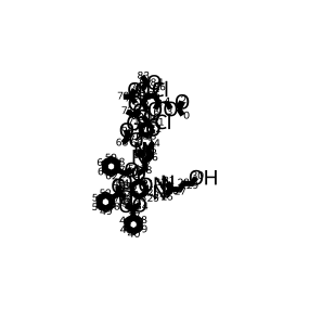 CC(=O)OC[C@H]1O[C@H](O[C@]2(CCl)O[C@H](Cn3cc(CO[C@H]4O[C@H](Cn5cc(CCCO)nn5)[C@@H](OC(=O)c5ccccc5)[C@H](OC(=O)c5ccccc5)[C@@H]4OC(=O)c4ccccc4)nn3)[C@@H](OC(C)=O)[C@@H]2OC(C)=O)[C@H](OC(C)=O)[C@@H](OC(C)=O)[C@H]1Cl